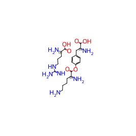 N=C(N)NCCC[C@H](N)C(=O)O.NCCCC[C@H](N)C(=O)Oc1ccc(C[C@H](N)C(=O)O)cc1